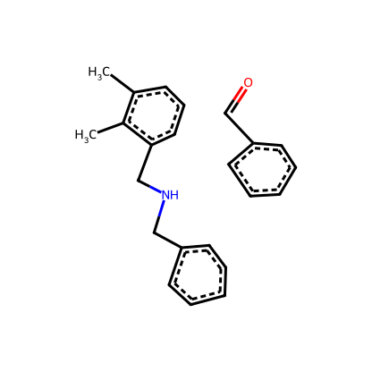 Cc1cccc(CNCc2ccccc2)c1C.O=Cc1ccccc1